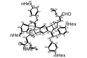 CCCCCCc1ccc(SC(Sc2ccc(CCCCCC)cc2)=C2c3cc4c(cc3C3SC(/C=C(/C=O)SC=S)CC23)/C(=C(\SC2=CCC(CCCCCC)C=C2)Sc2ccc(CCCCCC)cc2)C2CC(/C=C(\SC=S)C(=O)NC)SC42)cc1